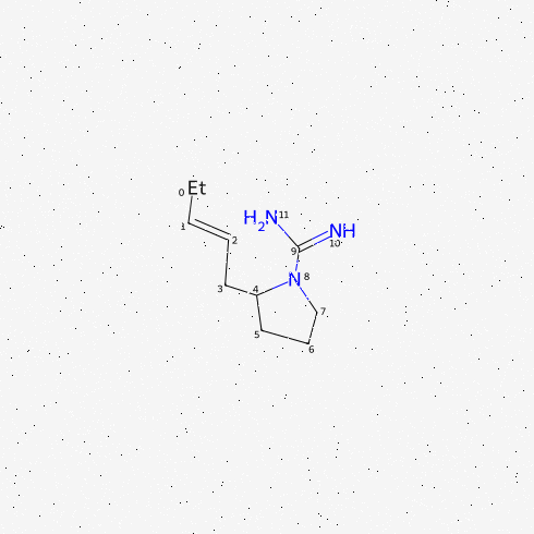 CCC=CCC1CCCN1C(=N)N